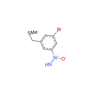 CSCc1cc(Br)cc([N+](=N)[O-])c1